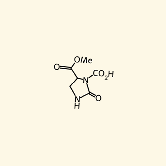 COC(=O)C1CNC(=O)N1C(=O)O